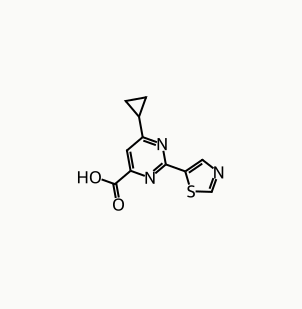 O=C(O)c1cc(C2CC2)nc(-c2cncs2)n1